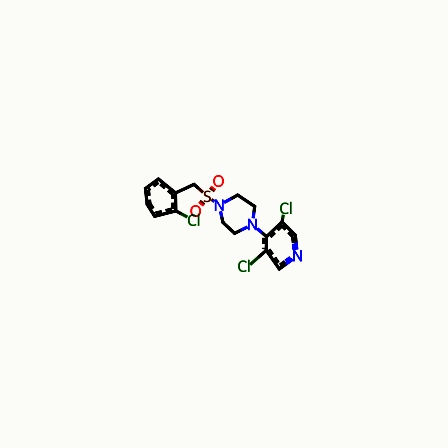 O=S(=O)(Cc1ccccc1Cl)N1CCN(c2c(Cl)cncc2Cl)CC1